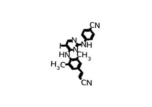 Cc1cc(/C=C/C#N)cc(C)c1Nc1nc(Nc2ccc(C#N)cc2)ncc1I